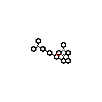 c1ccc(N(c2ccccc2)c2ccc(-c3ccc(-c4ccc(-c5ccc6cccc7c6c5Oc5c-7cccc5N(c5ccccc5)c5ccccc5)cc4)cc3)cc2)cc1